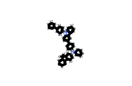 CC1(C)c2ccccc2-c2ccc(N(c3ccc(-c4ccc5c(c4)c4c#cccc4n5C4=CC=C(c5ccccc5)CC4)cc3)C3C=CC=CC3)cc21